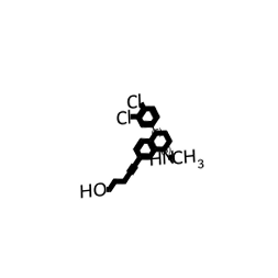 CN[C@H]1CC[C@@H](c2ccc(Cl)c(Cl)c2)c2ccc(C#CCCCO)cc21